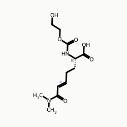 CN(C)C(=O)/C=C/CC[C@H](NC(=O)OCCO)C(=O)O